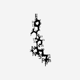 CC(C)C(Cc1ccc(F)cc1)N1CC2(CCN(c3ncnc4sc(CC(F)(F)F)cc34)C2)C1